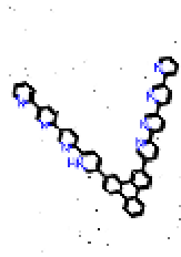 C1=C(c2ccc3c4ccccc4c4ccc(-c5ccc(-c6ccc(-c7ccc(-c8ccccn8)cn7)cn6)nc5)cc4c3c2)CNC(c2ccc(-c3ccc(-c4ccccn4)cn3)cn2)=C1